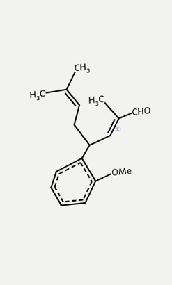 COc1ccccc1C(/C=C(\C)C=O)CC=C(C)C